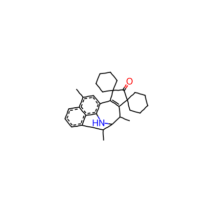 Cc1cc2c3c4c(cccc14)C(C)C(N3)C(C)C1=C2C2(CCCCC2)C(=O)C12CCCCC2